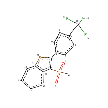 CS(=O)(=O)c1c(-c2ccc(C(F)(F)F)cc2)sc2ccccc12